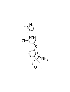 C=C(Oc1ccnn1C)/C(Cl)=C\C(=C/N)Sc1cccc([C@@]2(C(N)=O)CCO[C@@H](C)C2)c1F